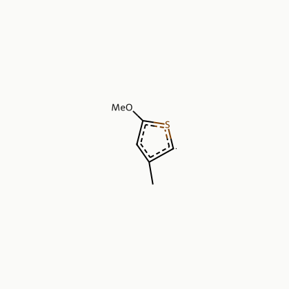 COc1cc(C)[c]s1